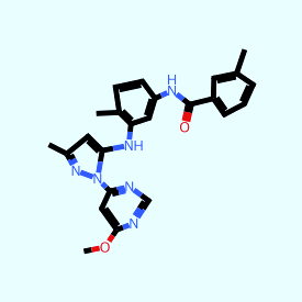 COc1cc(-n2nc(C)cc2Nc2cc(NC(=O)c3cccc(C)c3)ccc2C)ncn1